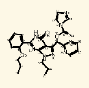 CCCOc1ccccc1-c1nc2c(c(C(OC(=S)n3ccnc3)c3ncccn3)nn2CCC)c(=O)[nH]1